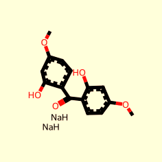 COc1ccc(C(=O)c2ccc(OC)cc2O)c(O)c1.[NaH].[NaH]